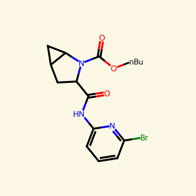 CCCCOC(=O)N1C(C(=O)Nc2cccc(Br)n2)CC2CC21